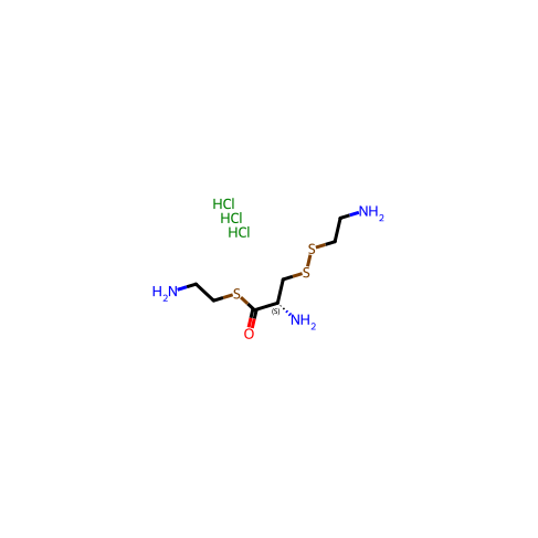 Cl.Cl.Cl.NCCSSC[C@H](N)C(=O)SCCN